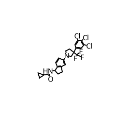 O=C(NC1CCc2cc(N3CCC(c4cc(Cl)c(Cl)c(Cl)c4)(C(F)(F)F)C3)ccc21)C1CC1